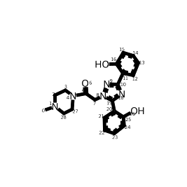 CN1CCN(C(=O)Cn2nc(-c3ccccc3O)nc2-c2ccccc2O)CC1